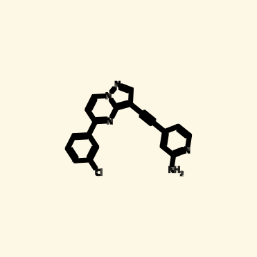 Nc1cc(C#Cc2cnn3ccc(-c4cc[c]c(Cl)c4)nc23)ccn1